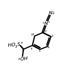 [N-]=[N+]=C1C=CC=C(C(O)S(=O)(=O)O)C1